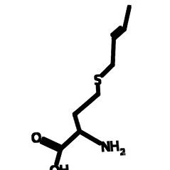 C/C=C/CSCCC(N)C(=O)O